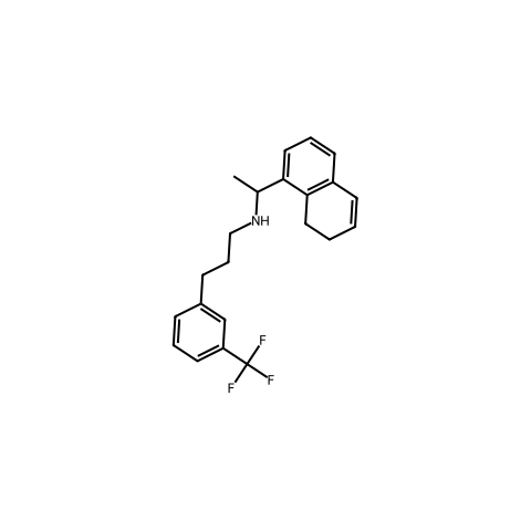 CC(NCCCc1cccc(C(F)(F)F)c1)c1cccc2c1CCC=C2